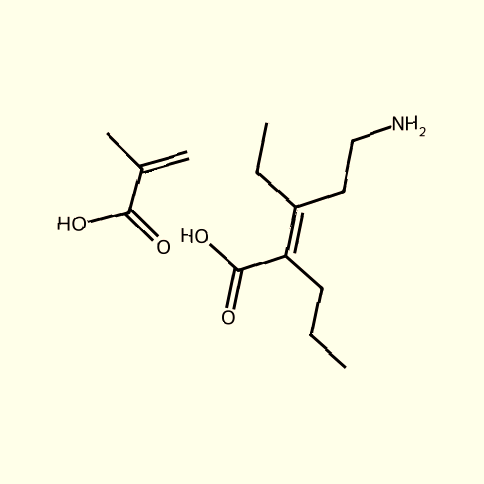 C=C(C)C(=O)O.CCCC(C(=O)O)=C(CC)CCN